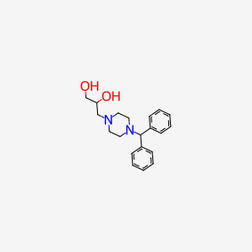 OCC(O)CN1CCN(C(c2ccccc2)c2ccccc2)CC1